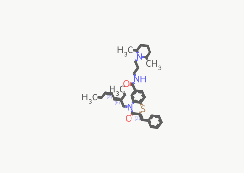 CC/C=C\C=C(/CC)CN1C(=O)/C(=C/c2ccccc2)Sc2ccc(C(=O)NCCCN3C(C)CCCC3C)cc21